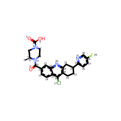 C[C@H]1CN(C(=O)O)CCN1C(=O)c1ccc2c(Cl)c3c(nc2c1)CC(c1ccc(F)cn1)CC3